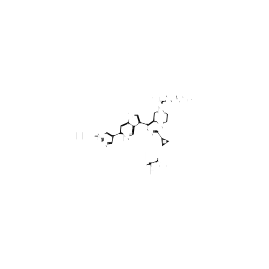 CNC(=O)N1CCn2c(C3CC3)nc(-c3csc4cc(-c5cnn(C)c5)ncc34)c2C1.O=C(O)C(F)(F)F